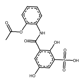 CC(=O)Oc1ccccc1NC(=O)c1cc(O)cc(S(=O)(=O)O)c1O